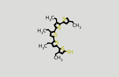 CCc1csc(-c2sc(-c3sc(-c4sc(-c5sc(S)cc5CC)cc4CC)cc3CC)cc2CC)c1